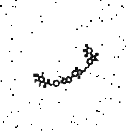 Cn1c(=O)n(C2CCC(=O)NC2=O)c2ccc(CCCN3C[C@@H]4CCN(c5ccc6cn([C@H]7CC[C@H](CNC(=O)c8cc(F)c(O)c(F)c8F)CC7)nc6c5)C[C@@H]4C3)cc21